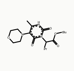 Cc1[nH]c(=O)n(C(C(=O)OC(C)(C)C)C(C)C)c(=O)c1N1CCOCC1